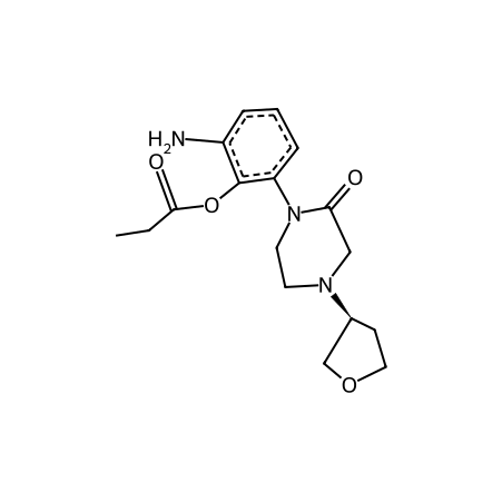 CCC(=O)Oc1c(N)cccc1N1CCN([C@H]2CCOC2)CC1=O